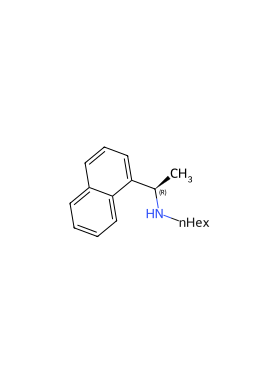 CCCCCCN[C@H](C)c1cccc2ccccc12